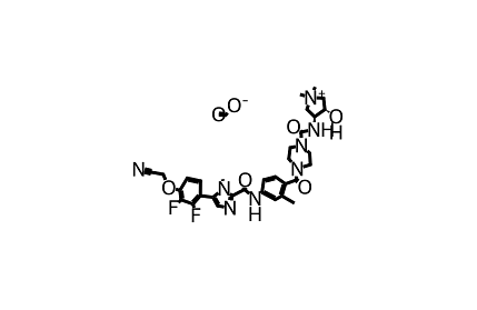 Cc1cc(NC(=O)c2ncc(-c3ccc(OCC#N)c(F)c3F)n2C)ccc1C(=O)N1CCN(C(=O)N[C@H]2C[N+](C)(C)C[C@@H]2O)CC1.O=C[O-]